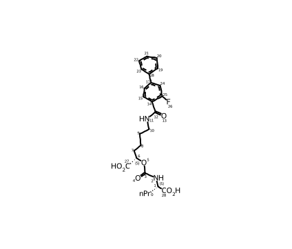 CCC[C@H](NC(=O)O[C@@H](CCCCNC(=O)c1ccc(-c2ccccc2)cc1F)C(=O)O)C(=O)O